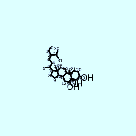 CCC(CCC(C)C1CCC2C3CC(O)C4(O)CC(O)CCC4(C)C3CCC12C)C(C)C